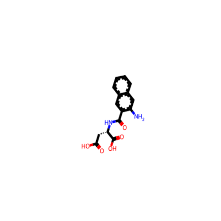 Nc1cc2ccccc2cc1C(=O)N[C@@H](CC(=O)O)C(=O)O